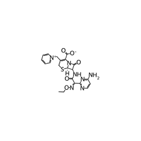 CCO/N=C(\C(=O)NC1C(=O)N2C(C(=O)[O-])=C(C[n+]3ccccc3)CS[C@H]12)c1nccc(N)n1